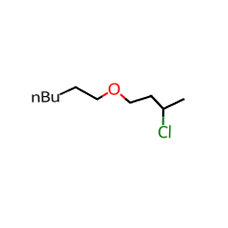 [CH2]CCCCCOCCC(C)Cl